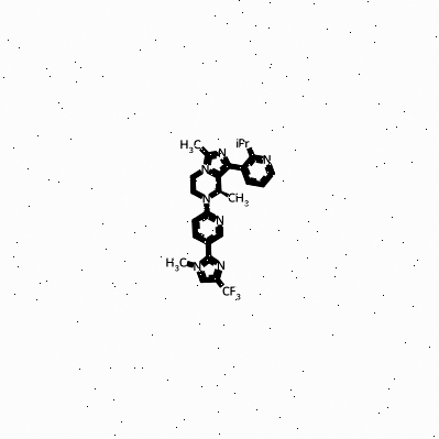 Cc1nc(-c2cccnc2C(C)C)c2n1CCN(c1ccc(-c3nc(C(F)(F)F)cn3C)cn1)[C@@H]2C